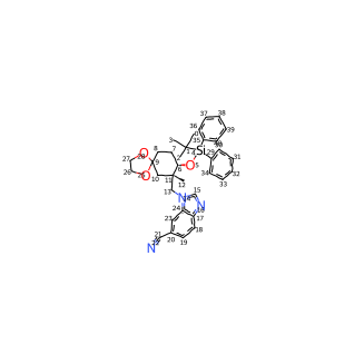 CC(C)(C)[Si](O[C@@H]1CCC2(C[C@@]1(C)Cn1cnc3ccc(C#N)cc31)OCCO2)(c1ccccc1)c1ccccc1